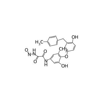 Cc1ccc(Cc2cc(Oc3c(C)cc(NC(=O)C(=O)NN=O)cc3O)ccc2O)cc1